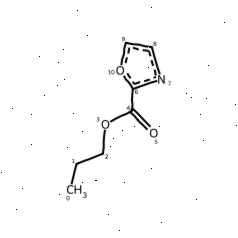 CCCOC(=O)c1ncco1